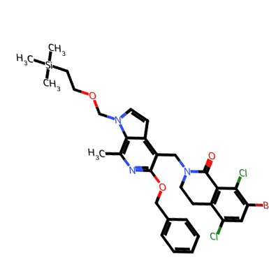 Cc1nc(OCc2ccccc2)c(CN2CCc3c(Cl)cc(Br)c(Cl)c3C2=O)c2ccn(COCC[Si](C)(C)C)c12